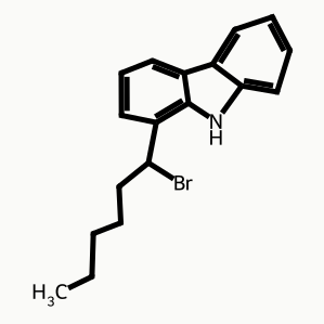 CCCCCC(Br)c1cccc2c1[nH]c1ccccc12